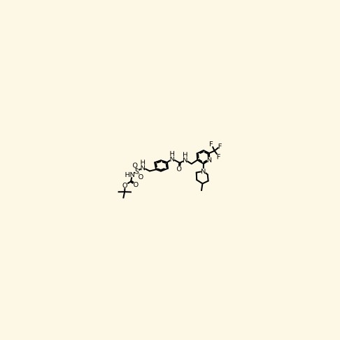 CC1CCN(c2nc(C(F)(F)F)ccc2CNC(=O)Nc2ccc(CNS(=O)(=O)NC(=O)OC(C)(C)C)cc2)CC1